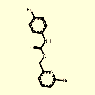 O=C(Nc1ccc(Br)cc1)OCc1cccc(Br)n1